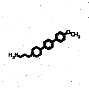 COc1ccc(-c2ccc(C3CCN(CCCN)CC3)cc2)cc1